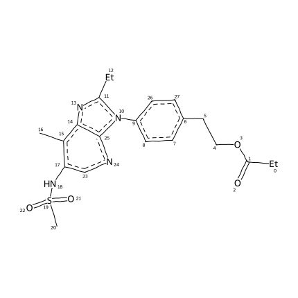 CCC(=O)OCCc1ccc(-n2c(CC)nc3c(C)c(NS(C)(=O)=O)cnc32)cc1